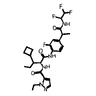 CCC(C1CCC1)[C@H](NC(=O)c1ccnn1CC)C(=O)Nc1ccc(C(C)C(=O)NC(F)C(F)F)cc1F